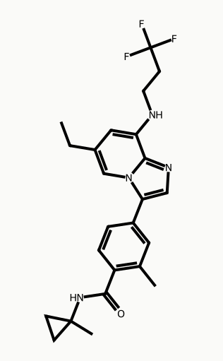 CCc1cc(NCCC(F)(F)F)c2ncc(-c3ccc(C(=O)NC4(C)CC4)c(C)c3)n2c1